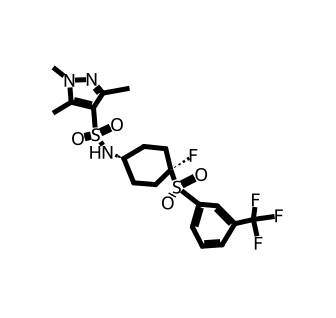 Cc1nn(C)c(C)c1S(=O)(=O)N[C@H]1CC[C@](F)(S(=O)(=O)c2cccc(C(F)(F)F)c2)CC1